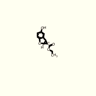 CCOC(=O)[C@H]1C2c3cc(O)ccc3O[C@@H]21